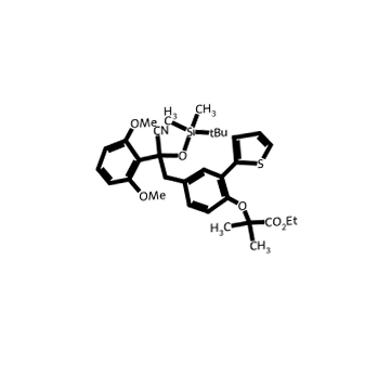 CCOC(=O)C(C)(C)Oc1ccc(CC(C#N)(O[Si](C)(C)C(C)(C)C)c2c(OC)cccc2OC)cc1-c1cccs1